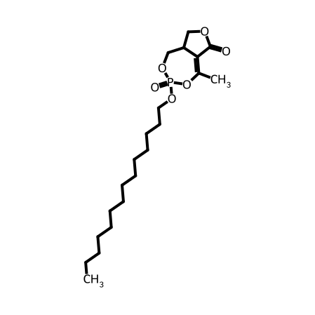 CCCCCCCCCCCCCCOP1(=O)OCC2COC(=O)C2=C(C)O1